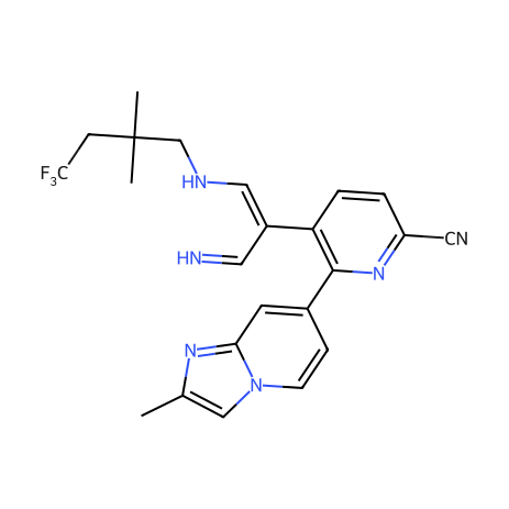 Cc1cn2ccc(-c3nc(C#N)ccc3/C(C=N)=C/NCC(C)(C)CC(F)(F)F)cc2n1